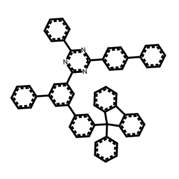 c1ccc(-c2ccc(-c3nc(-c4ccccc4)nc(-c4cc(-c5ccccc5)cc(-c5cccc(C6(c7ccccc7)c7ccccc7-c7ccccc76)c5)c4)n3)cc2)cc1